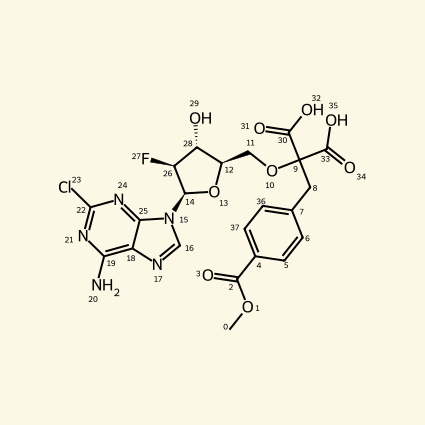 COC(=O)c1ccc(CC(OC[C@H]2O[C@@H](n3cnc4c(N)nc(Cl)nc43)[C@@H](F)[C@@H]2O)(C(=O)O)C(=O)O)cc1